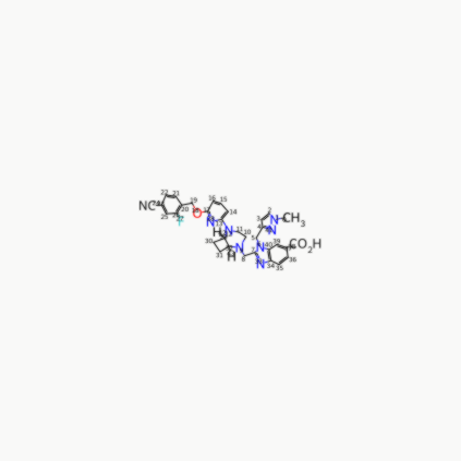 Cn1ccc(Cn2c(CN3CCN(c4cccc(OCc5ccc(C#N)cc5F)n4)[C@H]4CC[C@H]43)nc3ccc(C(=O)O)cc32)n1